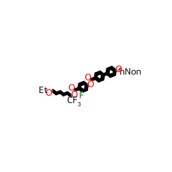 CCCCCCCCCOc1ccc(-c2ccc(C(=O)Oc3ccc(C(=O)OC(CCCCCOCC)C(F)(F)F)c(F)c3)cc2)cc1